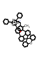 C=N/C=C\c1cccc(-c2cccc3c2-c2c(-c4ccc(-c5nc(-c6ccccc6)nc(-c6ccccc6)n5)cc4)cccc2C32c3ccccc3Oc3ccccc32)c1C